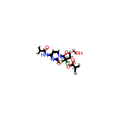 CC(C)C(=O)Nc1ccn(C2O[C@H](CO)[C@@H](OC(=O)C(C)C)C2(Cl)Cl)c(=O)n1